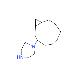 C1CCCC(N2CCNCC2)CC2CC2CC1